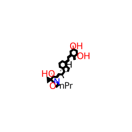 C=C1/C(=C\C=C2/CCC[C@]3(C)[C@@H]([C@@H](C)/C=C/[C@@H](O)C4(c5nc(CCC)co5)CC4)CC[C@@H]23)C[C@@H](O)C[C@@H]1O